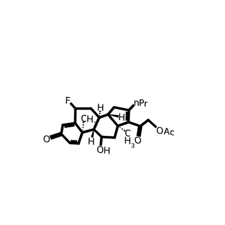 CCCC1=C(C(=O)COC(C)=O)[C@@]2(C)CC(O)[C@H]3[C@@H](CC(F)C4=CC(=O)C=C[C@@]43C)[C@@H]2C1